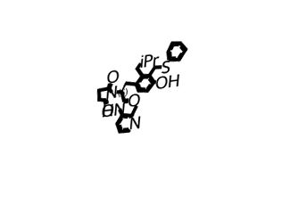 Cc1ncccc1NC(=O)[C@H](Cc1ccc(O)c(CSc2ccccc2)c1CC(C)C)N1C(=O)CCC1=O